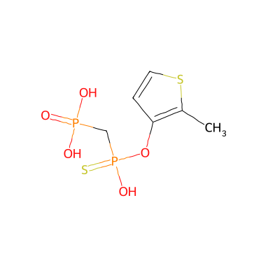 Cc1sccc1OP(O)(=S)CP(=O)(O)O